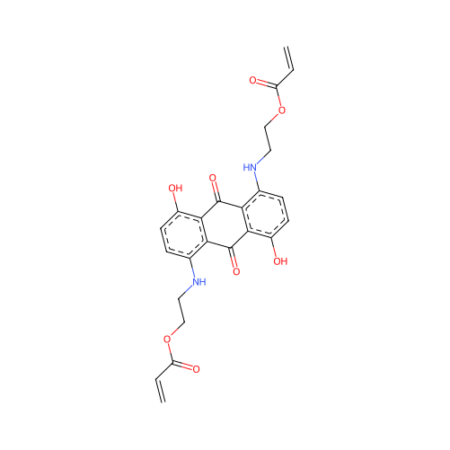 C=CC(=O)OCCNc1ccc(O)c2c1C(=O)c1c(O)ccc(NCCOC(=O)C=C)c1C2=O